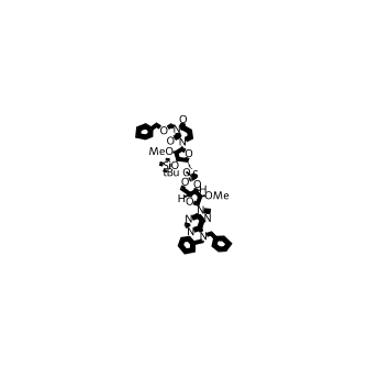 CO[C@@H]1[C@H](O[Si](C)(C)C(C)(C)C)[C@@H](CO[P@]2(=S)OC[C@H]3O[C@@H](n4cnc5c(N(Cc6ccccc6)Cc6ccccc6)ncnc54)[C@H](OC)[C@@H]3O2)O[C@H]1n1ccc(=O)n(COCc2ccccc2)c1=O